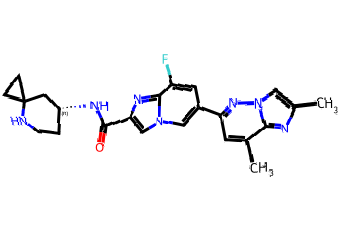 Cc1cn2nc(-c3cc(F)c4nc(C(=O)N[C@@H]5CCNC6(CC6)C5)cn4c3)cc(C)c2n1